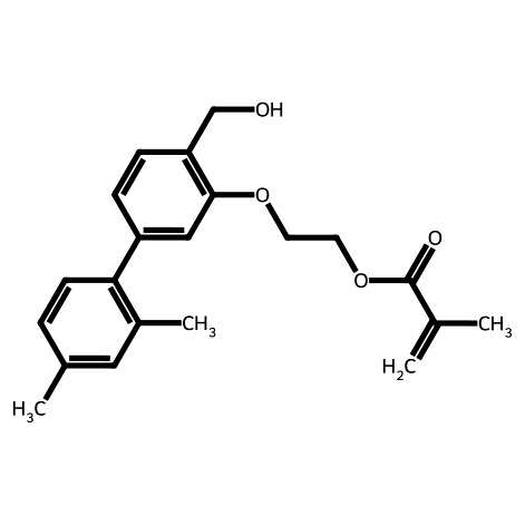 C=C(C)C(=O)OCCOc1cc(-c2ccc(C)cc2C)ccc1CO